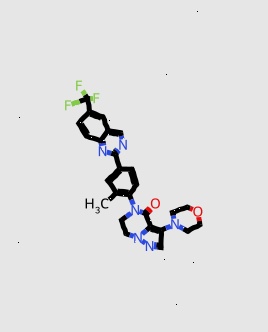 Cc1cc(-c2ncc3cc(C(F)(F)F)ccc3n2)ccc1N1CCn2ncc(N3CCOCC3)c2C1=O